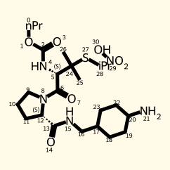 CCCOC(=O)N[C@@H](C(=O)N1CCC[C@H]1C(=O)NCC1CCC(N)CC1)C(C)(C)SC(C)C.O=[N+]([O-])O